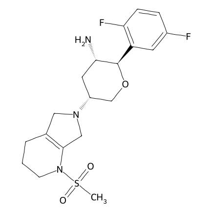 CS(=O)(=O)N1CCCC2=C1CN([C@H]1CO[C@H](c3cc(F)ccc3F)[C@@H](N)C1)C2